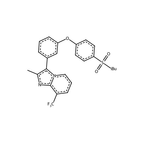 CCC(C)S(=O)(=O)c1ccc(Oc2cccc(-c3c(C)nc4c(C(F)(F)F)cccn34)c2)cc1